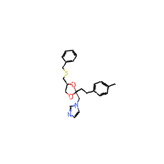 Cc1ccc(CCC2(Cn3ccnc3)OCC(CSCc3ccccc3)O2)cc1